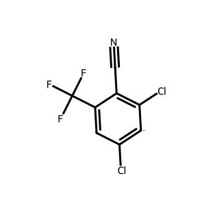 N#Cc1c(Cl)[c]c(Cl)cc1C(F)(F)F